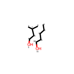 CC(C)CCO.CCCCCO